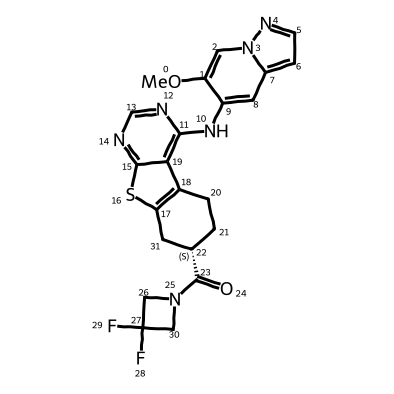 COc1cn2nccc2cc1Nc1ncnc2sc3c(c12)CC[C@H](C(=O)N1CC(F)(F)C1)C3